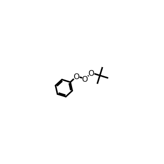 CC(C)(C)OOOc1ccccc1